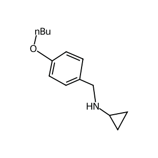 CCCCOc1ccc(CNC2CC2)cc1